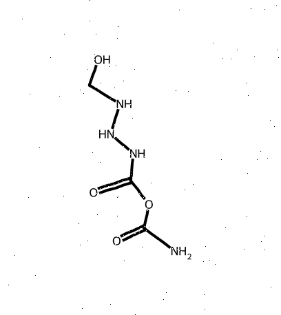 NC(=O)OC(=O)NNNCO